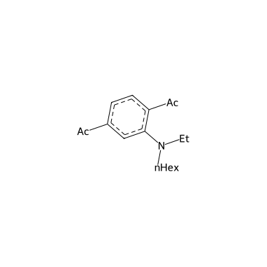 CCCCCCN(CC)c1cc(C(C)=O)ccc1C(C)=O